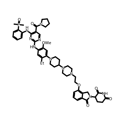 CCc1cc(Nc2ncc(C(=O)N3CCCC3)c(Nc3ccccc3P(C)(C)=O)n2)c(OC)cc1N1CCC(N2CCN(CCOc3cccc4c3CN(C3CCC(=O)NC3=O)C4=O)CC2)CC1